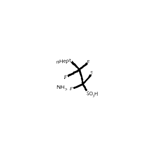 CCCCCCCC(F)(F)C(F)(F)S(=O)(=O)O.N